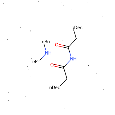 CCCCCCCCCCCC(=O)NC(=O)CCCCCCCCCCC.CCCCNCCC